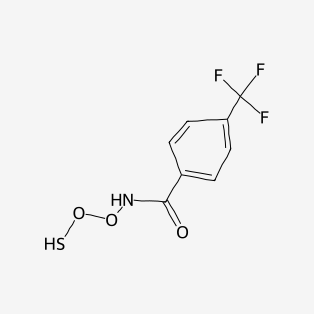 O=C(NOOS)c1ccc(C(F)(F)F)cc1